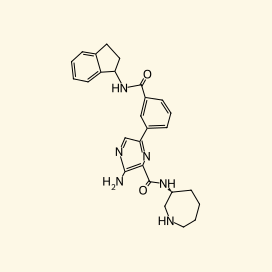 Nc1ncc(-c2cccc(C(=O)NC3CCc4ccccc43)c2)nc1C(=O)N[C@H]1CCCCNC1